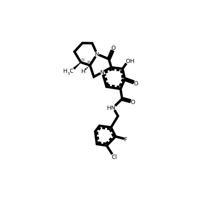 C[C@H]1CCCN2C(=O)c3c(O)c(=O)c(C(=O)NCc4cccc(Cl)c4F)cn3C[C@@H]12